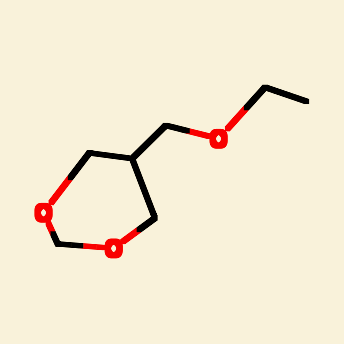 CCOCC1COCOC1